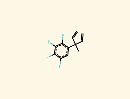 C=CC(C)(C=C)c1cc(F)c(F)c(F)c1F